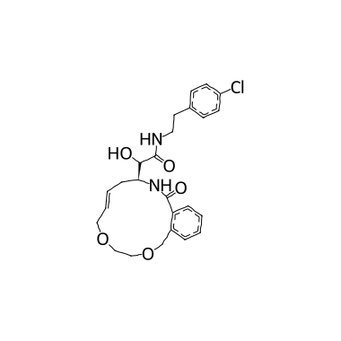 O=C1N[C@H](C(O)C(=O)NCCc2ccc(Cl)cc2)C/C=C/COCCOCc2ccccc21